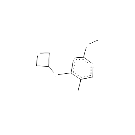 CSc1ncc(I)c(OC2COC2)n1